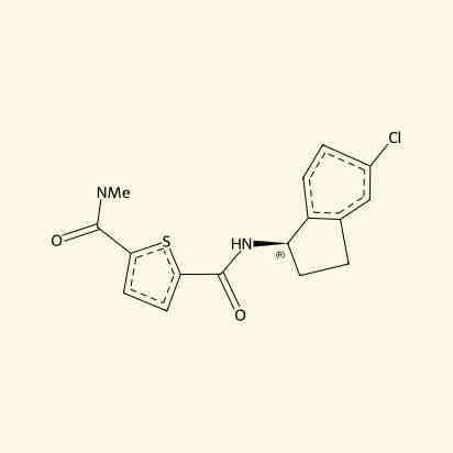 CNC(=O)c1ccc(C(=O)N[C@@H]2CCc3cc(Cl)ccc32)s1